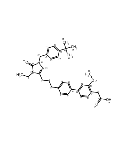 CCn1c(CCCc2ccc(-c3ccc(CC(=O)O)c(OC)c3)cc2)nn(Cc2ccc(C(C)(C)C)cc2)c1=O